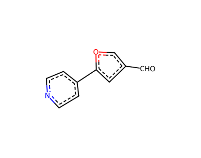 O=Cc1coc(-c2ccncc2)c1